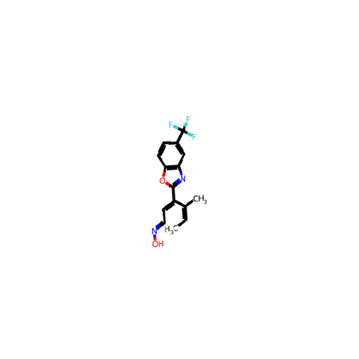 C\C=C(C)/C(=C\C=N\O)c1nc2cc(C(F)(F)F)ccc2o1